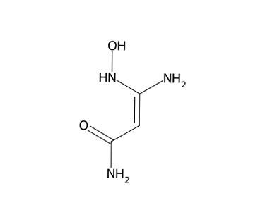 NC(=O)C=C(N)NO